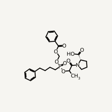 CC(OP(=O)(CCCCc1ccccc1)OCOC(=O)c1ccccc1)C(=O)N1CCC[C@H]1C(=O)O